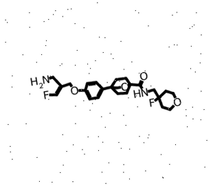 NCC(=CF)COc1ccc(C23CCC(C(=O)NCC4(F)CCOCC4)(CC2)CC3)cc1